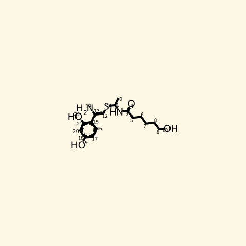 CC(NC(=O)CCCCCO)S/C=C(\N)c1ccc(O)cc1O